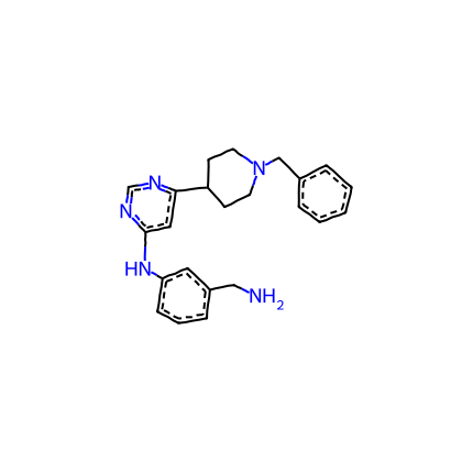 NCc1cccc(Nc2cc(C3CCN(Cc4ccccc4)CC3)ncn2)c1